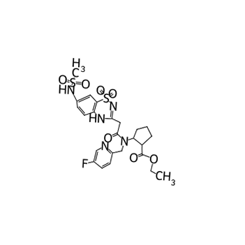 CCOC(=O)C1CCCC1N(Cc1ccc(F)cn1)C(=O)CC1=NS(=O)(=O)c2cc(NS(C)(=O)=O)ccc2N1